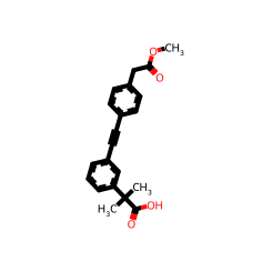 COC(=O)Cc1ccc(C#Cc2cccc(C(C)(C)C(=O)O)c2)cc1